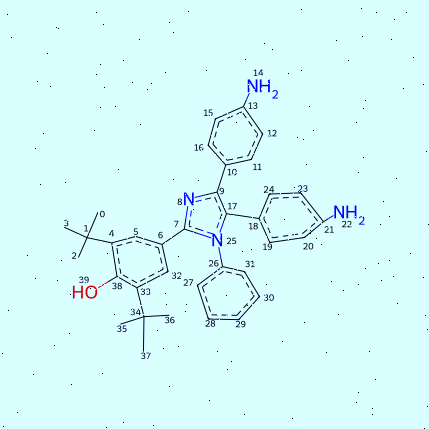 CC(C)(C)c1cc(-c2nc(-c3ccc(N)cc3)c(-c3ccc(N)cc3)n2-c2ccccc2)cc(C(C)(C)C)c1O